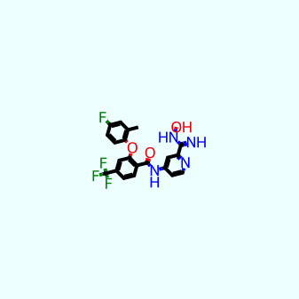 Cc1cc(F)ccc1Oc1cc(C(F)(F)F)ccc1C(=O)Nc1ccnc(C(=N)NO)c1